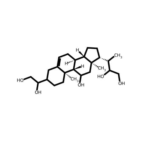 CC(C(O)CO)[C@H]1CC[C@H]2[C@@H]3CC=C4CC(C(O)CO)CC[C@]4(C)[C@H]3C(O)C[C@]12C